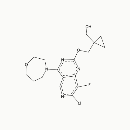 OCC1(COc2nc(N3CCCOCC3)c3cnc(Cl)c(F)c3n2)CC1